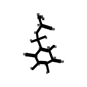 CC1=C(C)C(=O)C(C(C)(C)CC(N)=O)=C(C)C1=O